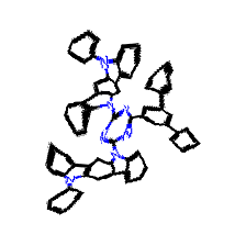 C1=C2c3ccccc3N(c3nc(-c4cc(-c5ccccc5)cc(-c5ccccc5)c4)nc(-n4c5ccccc5c5cc6c(cc54)c4ccccc4n6-c4ccccc4)n3)C2Cc2c1n(-c1ccccc1)c1ccccc21